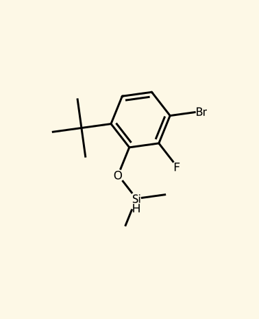 C[SiH](C)Oc1c(C(C)(C)C)ccc(Br)c1F